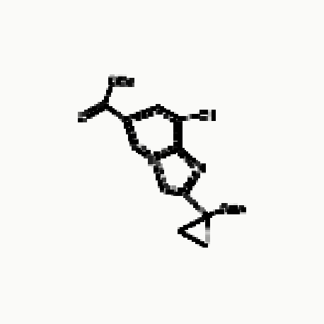 COC(=O)c1cc(O)c2nc(C3(OC)CC3)cn2c1